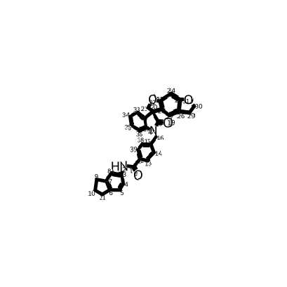 O=C(Nc1ccc2c(c1)CCC2)c1ccc(CN2C(=O)C3(COc4cc5c(cc43)CCO5)c3ccccc32)cc1